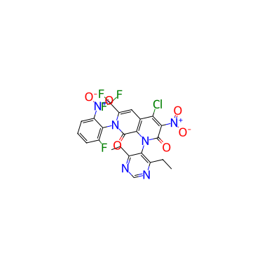 CCc1ncnc(CC)c1-n1c(=O)c([N+](=O)[O-])c(Cl)c2cc(C(F)(F)F)n(-c3c(F)cccc3[N+](=O)[O-])c(=O)c21